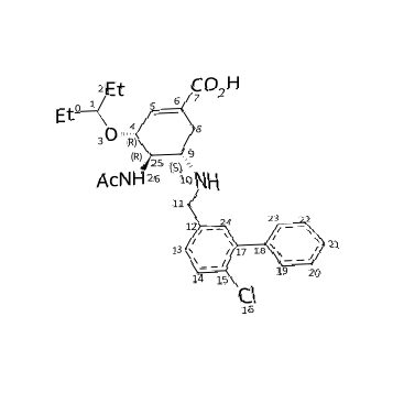 CCC(CC)O[C@@H]1C=C(C(=O)O)C[C@H](NCc2ccc(Cl)c(-c3ccccc3)c2)[C@H]1NC(C)=O